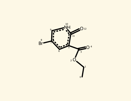 CCOC(=O)c1cc(Br)c[nH]c1=O